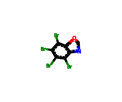 Brc1c(Br)c(Br)c2ocnc2c1Br